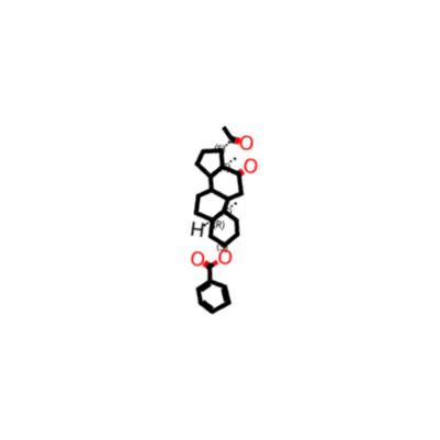 CC(=O)[C@H]1CCC2C3CC[C@@H]4C[C@@H](OC(=O)c5ccccc5)CC[C@]4(C)C3CC(=O)[C@@]21C